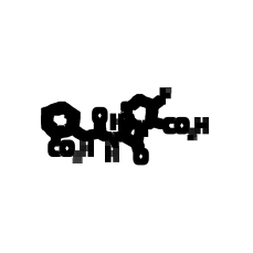 O=C(Cc1ccccc1C(=O)O)NC1C(=O)N2C(C(=O)O)=C(F)CS[C@H]12